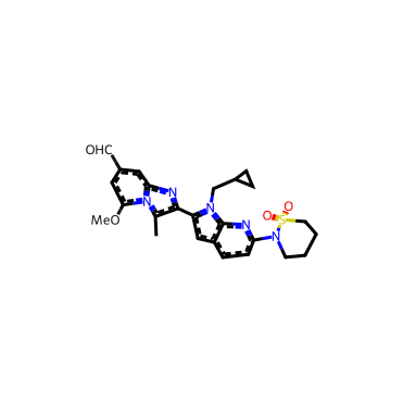 COc1cc(C=O)cc2nc(-c3cc4ccc(N5CCCCS5(=O)=O)nc4n3CC3CC3)c(C)n12